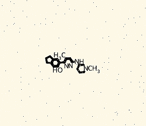 Cc1cc(N[C@@H]2CCCN(C)C2)nnc1-c1cc2c(cc1O)CCC2